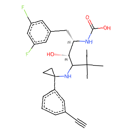 C#Cc1cccc(C2(NC([C@H](O)[C@H](Cc3cc(F)cc(F)c3)NC(=O)O)C(C)(C)C)CC2)c1